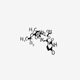 CC(C)OC(=O)[C@H](C)N[PH](=O)OC[C@@H](O[C@H](CBr)n1ccc(=O)[nH]c1=O)[C@@H](O)F